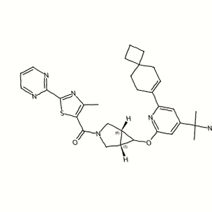 Cc1nc(-c2ncccn2)sc1C(=O)N1C[C@@H]2C(Oc3cc(C(C)(C)N)cc(C4=CCC5(CCC5)CC4)n3)[C@@H]2C1